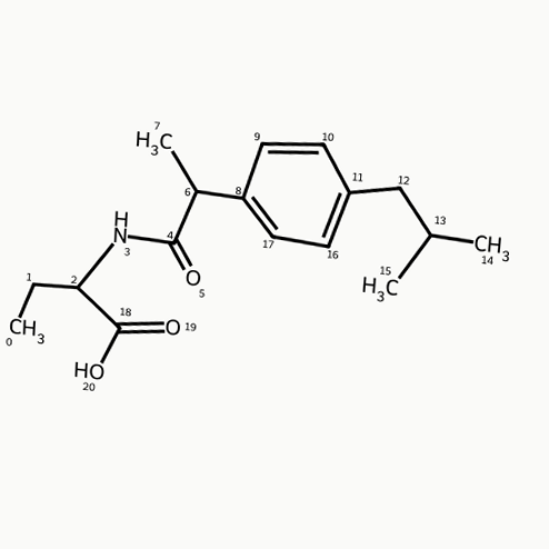 CCC(NC(=O)C(C)c1ccc(CC(C)C)cc1)C(=O)O